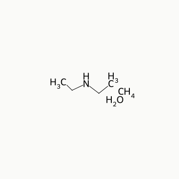 C.CCNCC.O